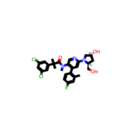 Cc1cc(F)ccc1-c1cc(N2C[C@H](O)C[C@H]2CO)ncc1N(C)C(=O)C(C)(C)c1cc(Cl)cc(Cl)c1